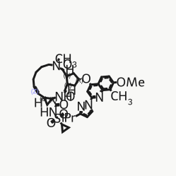 COc1ccc2c(O[C@@H]3C[C@H]4C(=O)N[C@]5(C(=O)NS(=O)(=O)C6CC6)C[C@H]5/C=C\CCCCN(C)C(=O)[C@@H]4C3)cc(-n3ccc(C(C)C)n3)nc2c1C